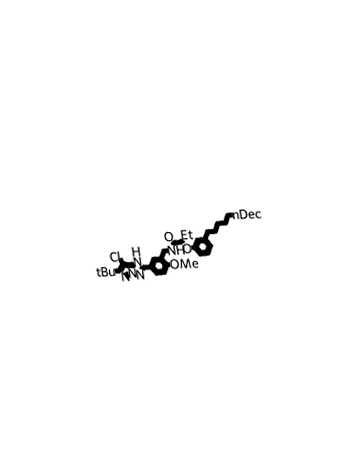 CCCCCCCCCCCCCCCc1cccc(OC(CC)C(=O)NCc2cc(-c3nn4nc(C(C)(C)C)c(Cl)c4[nH]3)ccc2OC)c1